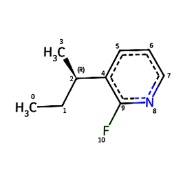 CC[C@@H](C)c1cccnc1F